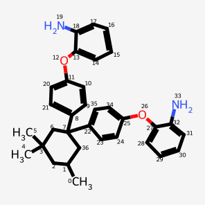 CC1CC(C)(C)CC(c2ccc(Oc3ccccc3N)cc2)(c2ccc(Oc3ccccc3N)cc2)C1